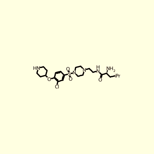 CC(C)C[C@H](N)C(=O)NCCN1CCN(S(=O)(=O)c2ccc(OC3CCNCC3)c(Cl)c2)CC1